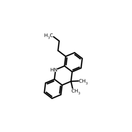 CCCc1cccc2c1Nc1ccccc1C2(C)C